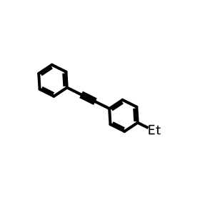 CCc1ccc(C#Cc2ccccc2)cc1